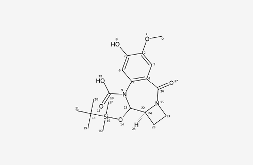 COc1cc2c(cc1O)N(C(=O)O)C(O[Si](C)(C)C(C)(C)C)[C@@H]1CCN1C2=O